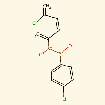 C=C(Cl)/C=C\C(=C)[S+]([O-])[S+]([O-])c1ccc(Cl)cc1